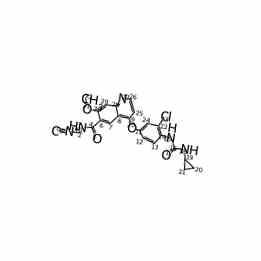 [C-]#[N+]CNC(=O)c1cc2c(Oc3ccc(NC(=O)NC4CC4)c(Cl)c3)ccnc2cc1OC